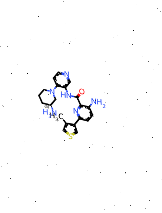 Cc1cscc1-c1ccc(N)c(C(=O)Nc2cnccc2N2CCC[C@H](N)C2)n1